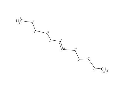 CCCCC/C=C/CCCCC